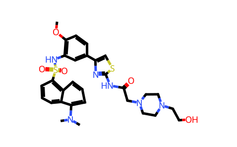 COc1ccc(-c2csc(NC(=O)CN3CCN(CCO)CC3)n2)cc1NS(=O)(=O)c1cccc2c(N(C)C)cccc12